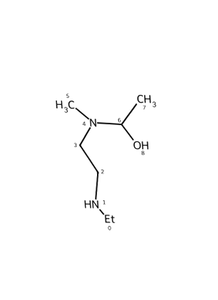 CCNCCN(C)C(C)O